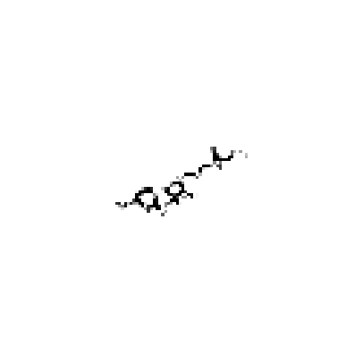 NCC(=O)NCOC[C@H]1O[C@@H](n2ccc(N)nc2=O)C(F)(F)[C@@H]1O